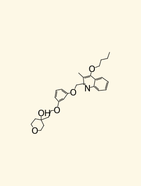 CCCCOc1c(C)c(COc2cccc(OCCC3(O)CCOCC3)c2)nc2ccccc12